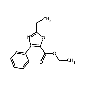 CCOC(=O)c1oc(CC)nc1-c1ccccc1